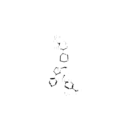 COC(=O)c1ccc(NC(=O)[C@@H]2[C@@H](c3ccccc3)CCN2C(=O)[C@H]2CC[C@H](C(CF)NC(=O)OC(C)(C)C)CC2)nc1